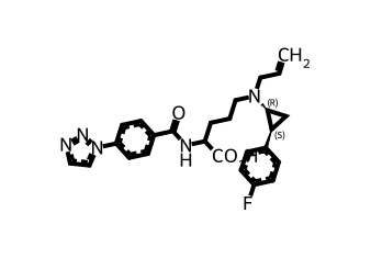 C=CCN(CCCC(NC(=O)c1ccc(-n2ccnn2)cc1)C(=O)O)[C@@H]1C[C@H]1c1ccc(F)cc1